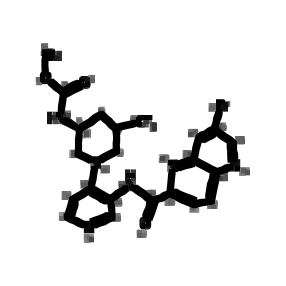 CC(C)(C)OC(=O)N[C@H]1CC(C(F)(F)F)CN(c2ccncc2NC(=O)c2ccc3ncc(Br)cc3n2)C1